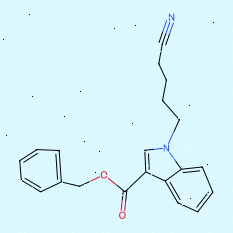 N#CCCCCn1cc(C(=O)OCc2ccccc2)c2ccccc21